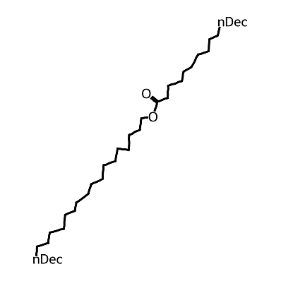 CCCCCCCCCCCCCCCCCCCCCCCCCCCOC(=O)CCCCCCCCCCCCCCCCCCC